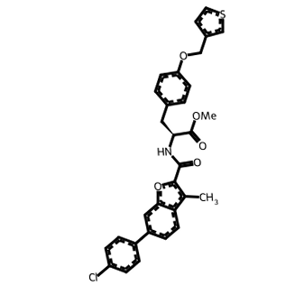 COC(=O)[C@H](Cc1ccc(OCc2ccsc2)cc1)NC(=O)c1oc2cc(-c3ccc(Cl)cc3)ccc2c1C